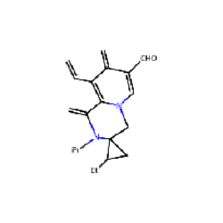 C=CC1=C2C(=C)N(C(C)C)C3(CC3CC)CN2C=C(C=O)C1=C